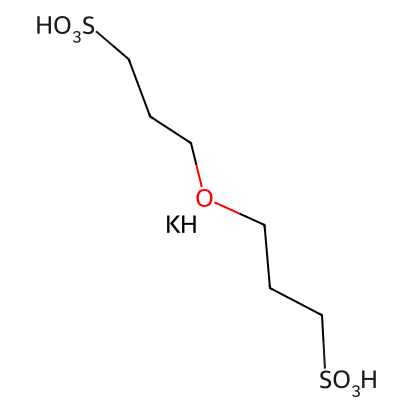 O=S(=O)(O)CCCOCCCS(=O)(=O)O.[KH]